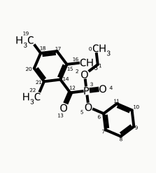 CCOP(=O)(Oc1ccccc1)C(=O)c1c(C)cc(C)cc1C